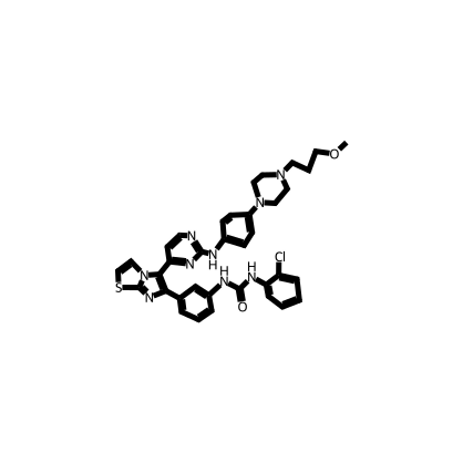 COCCCN1CCN(c2ccc(Nc3nccc(-c4c(-c5cccc(NC(=O)Nc6ccccc6Cl)c5)nc5sccn45)n3)cc2)CC1